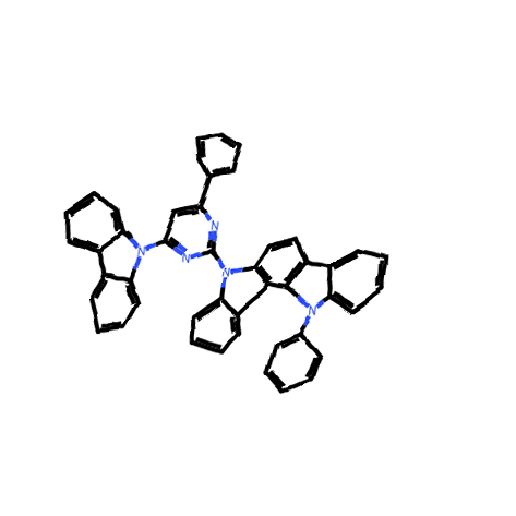 c1ccc(-c2cc(-n3c4ccccc4c4ccccc43)nc(-n3c4ccccc4c4c3ccc3c5ccccc5n(-c5ccccc5)c34)n2)cc1